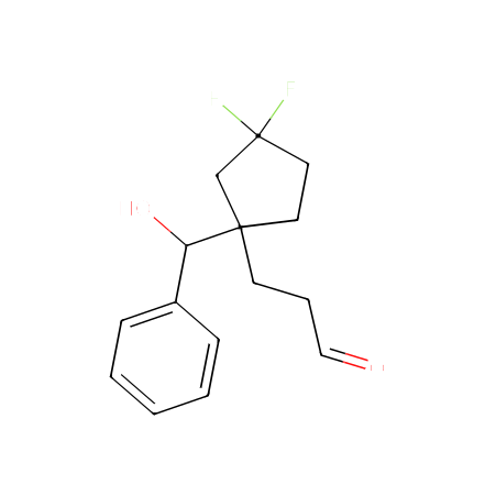 O=CCCC1(C(O)c2ccccc2)CCC(F)(F)C1